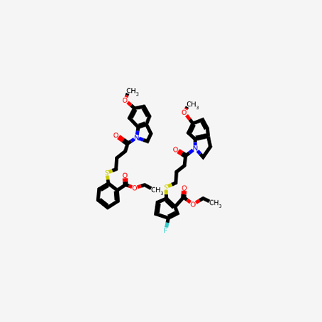 CCOC(=O)c1cc(F)ccc1SCCCC(=O)N1CCc2ccc(OC)cc21.CCOC(=O)c1ccccc1SCCCC(=O)N1CCc2ccc(OC)cc21